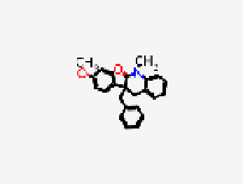 COc1ccc(C2(Cc3ccccc3)Cc3ccccc3N(C)C2=O)cc1